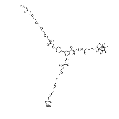 CC(C)(C)OC(=O)CCOCCOCCOCCOCCNC(=O)COc1ccc(-c2cc(OCC(=O)NCCOCCOCCOCCOCCC(=O)OC(C)(C)C)cc(C(=O)NCCNC(=O)CCCC[C@@H]3SC[C@@H]4NC(=O)N[C@@H]43)c2)cc1